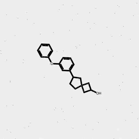 OC1CC2(CCC(c3cccc(Oc4ccccc4)c3)C2)C1